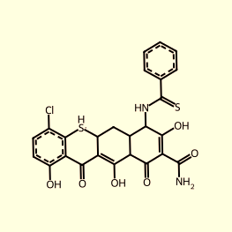 NC(=O)C1=C(O)C(NC(=S)c2ccccc2)C2CC3[SH]c4c(Cl)ccc(O)c4C(=O)C3=C(O)C2C1=O